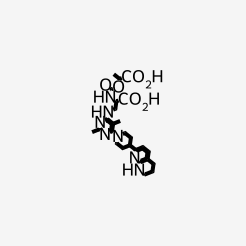 Cc1nc(NCC(NC(=O)OC(C)C(=O)O)C(=O)O)c(C)c(N2CCC(c3ccc4c(n3)NCCC4)CC2)n1